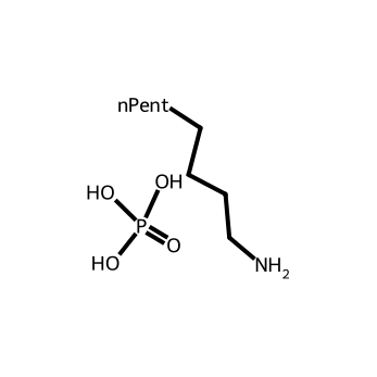 CCCCCCCCCN.O=P(O)(O)O